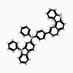 C1=C(c2ccc(N(c3ccccc3)c3ccc4c5ccccc5n(-c5ccccc5)c4c3)cc2)CCc2ccc3oc4ccccc4c3c21